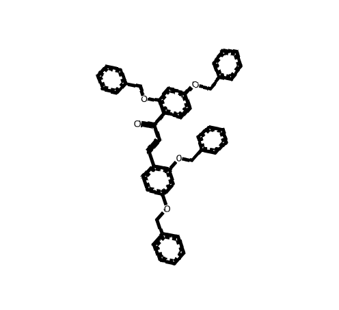 O=C(C=Cc1ccc(OCc2ccccc2)cc1OCc1ccccc1)c1ccc(OCc2ccccc2)cc1OCc1ccccc1